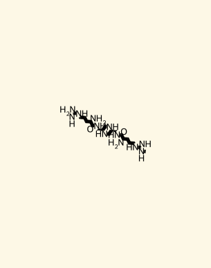 CNC(=N)NCCC[C@H](N)C(=O)NC[C@H]1CN[C@@H](CNC(=O)[C@@H](N)CCCNC(=N)N)CN1